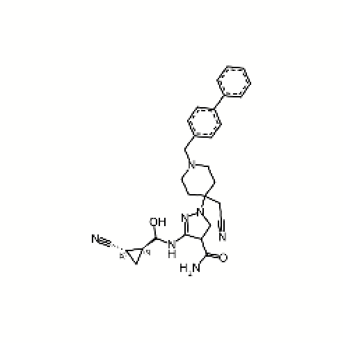 N#CCC1(N2CC(C(N)=O)C(NC(O)[C@H]3C[C@@H]3C#N)=N2)CCN(Cc2ccc(-c3ccccc3)cc2)CC1